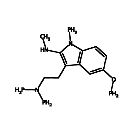 CNc1c(CCN(P)P)c2cc(OP)ccc2n1P